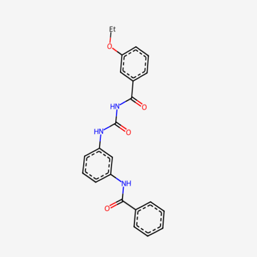 CCOc1cccc(C(=O)NC(=O)Nc2cccc(NC(=O)c3ccccc3)c2)c1